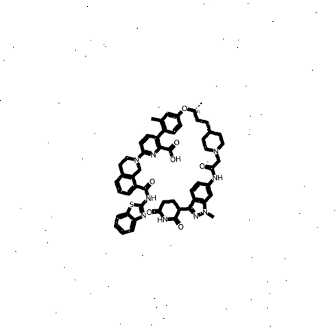 Cc1cc(O[C@H](C)CCC2CCN(CC(=O)Nc3ccc4c(C5CCC(=O)NC5=O)nn(C)c4c3)CC2)ccc1-c1ccc(N2CCc3cccc(C(=O)Nc4nc5ccccc5s4)c3C2)nc1C(=O)O